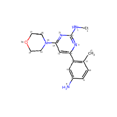 CCNc1nc(-c2cc(N)ccc2C)cc(N2CCOCC2)n1